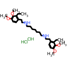 CCc1c(CCNCCCCCCCNCCc2ccc(OC)c(OC)c2CC)ccc(OC)c1OC.Cl.Cl